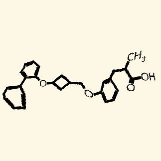 CC(Cc1cccc(OCC2CC(Oc3ccccc3-c3ccccc3)C2)c1)C(=O)O